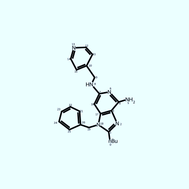 CCCCc1nc2c(N)nc(NCc3ccncc3)cc2n1Cc1ccccc1